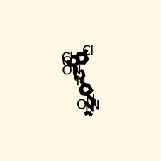 COC(=O)C(c1ccc(Cl)cc1Cl)N1CCN(c2ccc(-n3cnn(C(C)C)c3=O)cc2)CC1